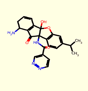 CC(C)c1ccc2c(c1)OC1(O)C3=C(C(=O)C21NC(=O)c1ccnnc1)C(N)CC=C3